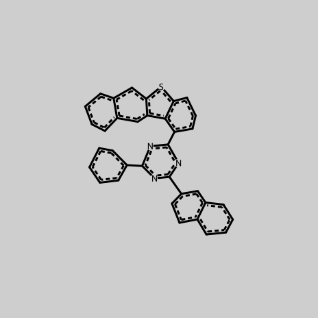 c1ccc(-c2nc(-c3ccc4ccccc4c3)nc(-c3cccc4sc5cc6ccccc6cc5c34)n2)cc1